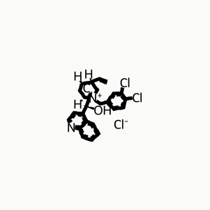 C=C[C@H]1C[N+]2(Cc3ccc(Cl)c(Cl)c3)CC[C@H]1C[C@@H]2[C@@H](O)c1ccnc2ccccc12.[Cl-]